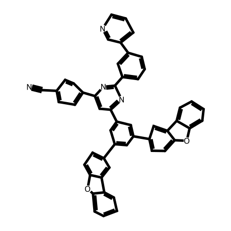 N#Cc1ccc(-c2cc(-c3cc(-c4ccc5oc6ccccc6c5c4)cc(-c4ccc5oc6ccccc6c5c4)c3)nc(-c3cccc(-c4cccnc4)c3)n2)cc1